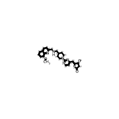 COc1cccc2ccc(CNCC3CCN(c4nccc(/C=C5\SC(=O)CC5=O)n4)CC3)nc12